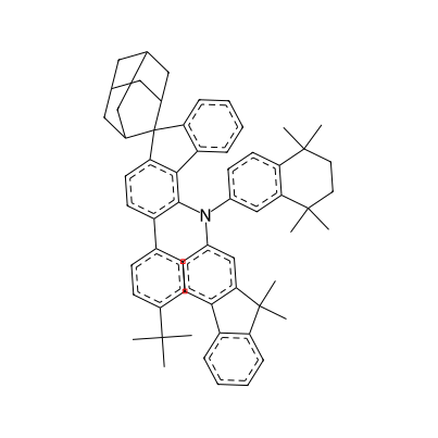 CC(C)(C)c1ccc(-c2ccc3c(c2N(c2ccc4c(c2)C(C)(C)CCC4(C)C)c2ccc4c(c2)C(C)(C)c2ccccc2-4)-c2ccccc2C32C3CC4CC(C3)CC2C4)cc1